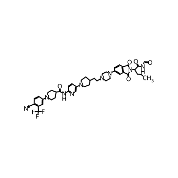 CCCC(C(=O)NC=O)N1C(=O)c2ccc(N3CCN(CCC4CCN(c5ccc(NC(=O)C6CCN(c7ccc(C#N)c(C(F)(F)F)c7)CC6)nc5)CC4)CC3)cc2C1=O